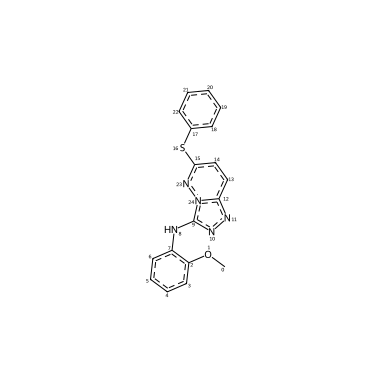 COc1ccccc1Nc1nnc2ccc(Sc3ccccc3)nn12